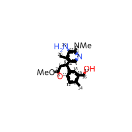 CNc1ncc(C(CC(=O)OC)c2ccc(C)c(CO)c2)c(C)c1N